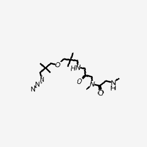 CNCC(=O)N(C)CC(=O)CNCC(C)(C)COCC(C)(C)CN=[N+]=[N-]